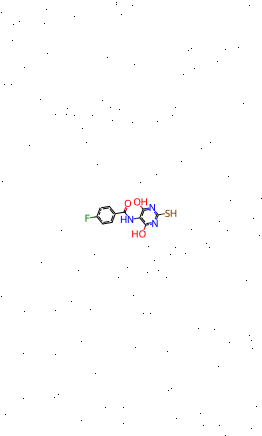 O=C(Nc1c(O)nc(S)nc1O)c1ccc(F)cc1